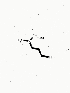 CC(C)CCCN(C)C.Cl